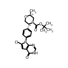 C[C@H]1CN(C(=O)OC(C)(C)C)[C@H](c2ccc(-n3c(Cl)cc4c(=O)[nH]cnc43)cc2)CO1